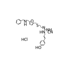 Cl.N#CNC(=NCCSCc1ccc(CNCc2ccccc2)o1)NCC=Cc1ccc(O)cc1